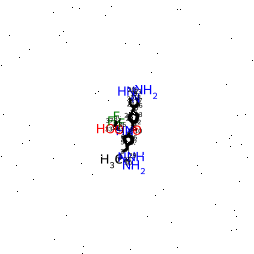 CN(CCc1ccc(NC(=O)c2ccc(C3=CCN(C(=N)N)CC3)cc2)cc1)C(=N)N.O=C(O)C(F)(F)F